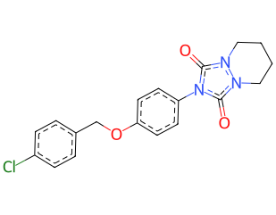 O=c1n(-c2ccc(OCc3ccc(Cl)cc3)cc2)c(=O)n2n1CCCC2